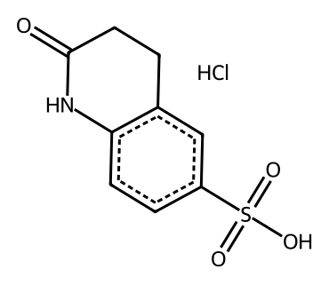 Cl.O=C1CCc2cc(S(=O)(=O)O)ccc2N1